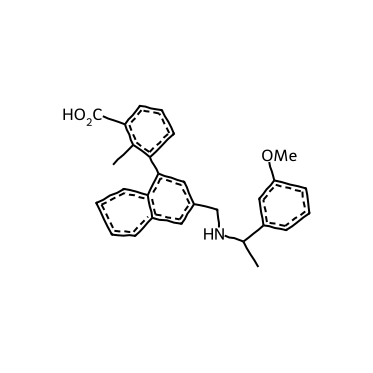 COc1cccc(C(C)NCc2cc(-c3cccc(C(=O)O)c3C)c3ccccc3c2)c1